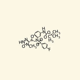 Cn1c([C@H]2CN(S(=O)(=O)c3ccc(F)cc3)c3cc(NC(=O)OC(C)(C)C)ccc3O2)n[nH]c1=O